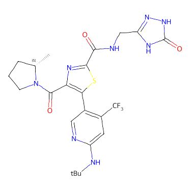 C[C@H]1CCCN1C(=O)c1nc(C(=O)NCc2n[nH]c(=O)[nH]2)sc1-c1cnc(NC(C)(C)C)cc1C(F)(F)F